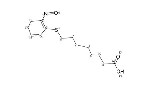 O=NC1=C(SCCCCCCCC(=O)O)C=CCC1